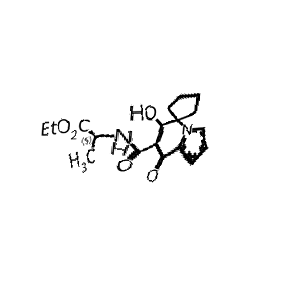 CCOC(=O)[C@H](C)NC(=O)C1=C(O)C2(CCCC2)n2cccc2C1=O